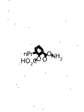 CCCc1cccc(C(=O)ON)c1OC(=O)O